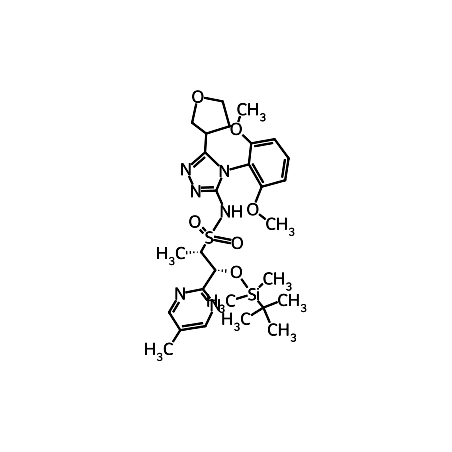 COc1cccc(OC)c1-n1c(NS(=O)(=O)[C@@H](C)[C@H](O[Si](C)(C)C(C)(C)C)c2ncc(C)cn2)nnc1C1CCOC1